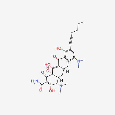 CCCCC#Cc1cc(N(C)C)c2c(c1O)C(=O)C1=C(O)[C@]3(O)C(=O)C(C(N)=O)=C(O)[C@@H](N(C)C)[C@@H]3C[C@@H]1C2